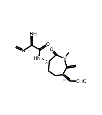 C=NC(=N)C(=O)N[C@H]1CC/C(=C/C=O)C(=C)N(C)C1=O